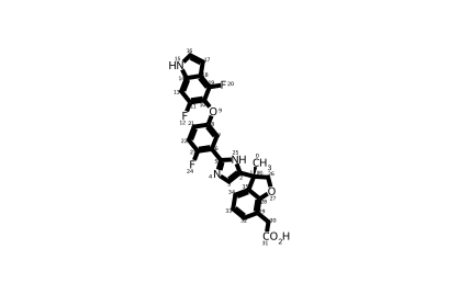 C[C@@]1(c2cnc(-c3cc(Oc4c(F)cc5[nH]ccc5c4F)ccc3F)[nH]2)COc2c(CC(=O)O)cccc21